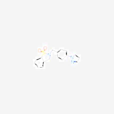 O=S1(=O)c2ccccc2CN1Cc1ccc(-n2cccn2)cc1